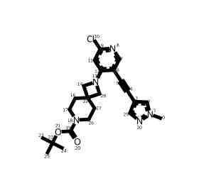 Cn1cc(C#Cc2cnc(Cl)cc2N2CC3(CCN(C(=O)OC(C)(C)C)CC3)C2)cn1